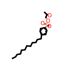 CCCCCCCCCCCCc1ccc(S(=O)(=O)OCC(C)=O)cc1